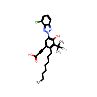 CCCCCCCCc1c(C#CC(=O)O)cc(-n2nc3cccc(Cl)c3n2)c(O)c1C(C)(C)C